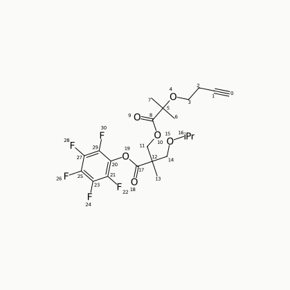 C#CCCOC(C)(C)C(=O)OCC(C)(COC(C)C)C(=O)Oc1c(F)c(F)c(F)c(F)c1F